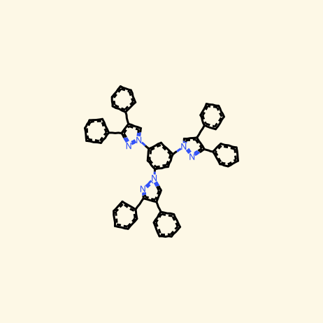 c1ccc(-c2cn(-c3cc(-n4cc(-c5ccccc5)c(-c5ccccc5)n4)cc(-n4cc(-c5ccccc5)c(-c5ccccc5)n4)c3)nc2-c2ccccc2)cc1